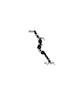 C=C(C)OOCCCCCCOc1ccc(OCOc2ccc(OC(=O)c3ccc(C(C)OCCCOCCCOC)cc3)cc2)cc1